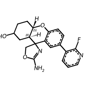 NC1=NC2(CO1)c1cc(-c3cccnc3F)ccc1O[C@H]1CCC(O)C[C@@H]12